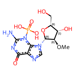 CO[C@@H]1[C@@H](O)[C@@H](CO)O[C@H]1n1cnc2c(=O)nc(N)n(P(=O)(O)O)c21